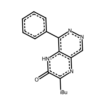 CCC(C)c1nc2cnnc(-c3ccccc3)c2[nH]c1=O